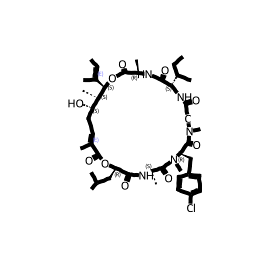 C/C=C(\C)[C@H]1OC(=O)[C@@H](C)NC(=O)[C@H](C(C)CC)NC(=O)CN(C)C(=O)[C@@H](Cc2ccc(Cl)cc2)N(C)C(=O)[C@H](C)NC(=O)[C@@H](CC(C)C)OC(=O)/C(C)=C/C[C@H](O)[C@@H]1C